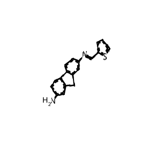 Nc1ccc2c(c1)Cc1cc(N=Cc3cccs3)ccc1-2